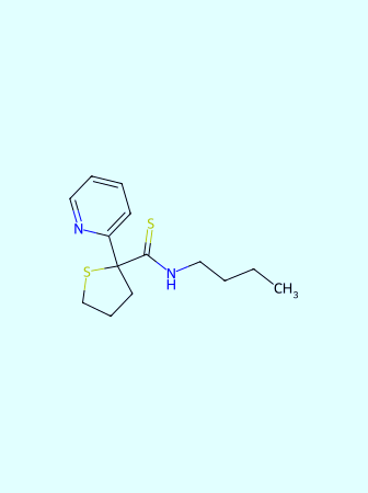 CCCCNC(=S)C1(c2ccccn2)CCCS1